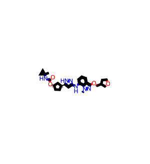 Cn1nc(OCC2CCOC2)c2cccc(Nc3cc([C@H]4CC[C@@H](OC(=O)NC5(C)CC5)C4)[nH]n3)c21